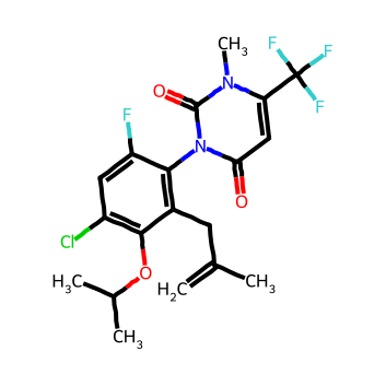 C=C(C)Cc1c(OC(C)C)c(Cl)cc(F)c1-n1c(=O)cc(C(F)(F)F)n(C)c1=O